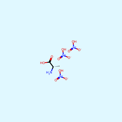 C[C@H](N)C(=O)O.O=[N+]([O-])O.O=[N+]([O-])O.O=[N+]([O-])O